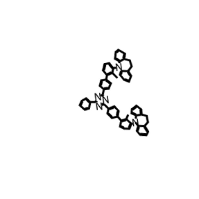 Cc1c(-c2ccc(-c3nc(-c4ccccc4)nc(-c4ccc(-c5cccc(N6c7ccccc7CCc7ccccc76)c5C)cc4)n3)cc2)cccc1N1c2ccccc2CCc2ccccc21